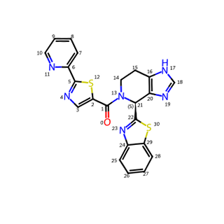 O=C(c1cnc(-c2ccccn2)s1)N1CCc2[nH]cnc2[C@H]1c1nc2ccccc2s1